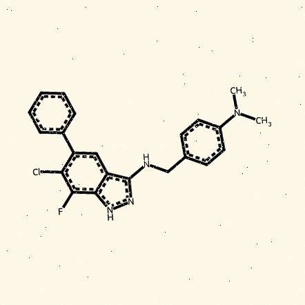 CN(C)c1ccc(CNc2n[nH]c3c(F)c(Cl)c(-c4ccccc4)cc23)cc1